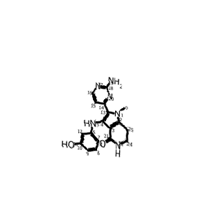 Cn1c2c(c(Nc3cccc(O)c3)c1-c1ccnc(N)n1)C(=O)NCC2